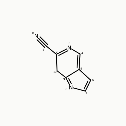 N#CC1=NC=C2C=CN=C2C1